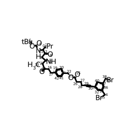 CC(C)C(NC(=O)OC(C)(C)C)C(=O)CC(=N)[C@@H](C)C(=O)CCc1ccc(COC(=O)CCCC#Cc2cc(CBr)cc(CBr)c2)cc1